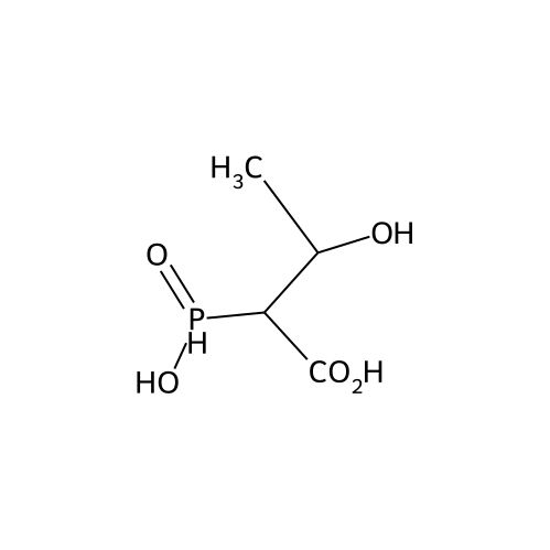 CC(O)C(C(=O)O)[PH](=O)O